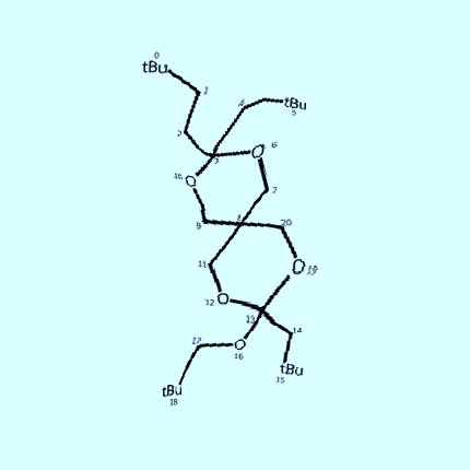 CC(C)(C)CCC1(CC(C)(C)C)OCC2(CO1)COC(CC(C)(C)C)(OCC(C)(C)C)OC2